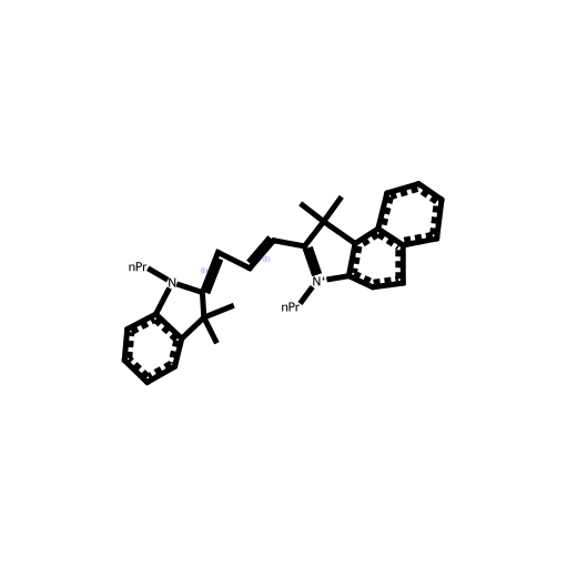 CCCN1/C(=C/C=C/C2=[N+](CCC)c3ccc4ccccc4c3C2(C)C)C(C)(C)c2ccccc21